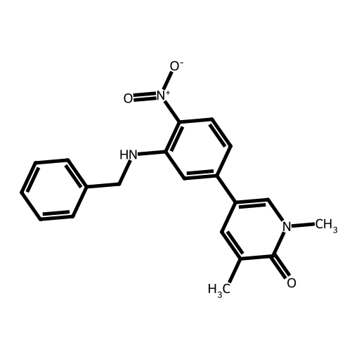 Cc1cc(-c2ccc([N+](=O)[O-])c(NCc3ccccc3)c2)cn(C)c1=O